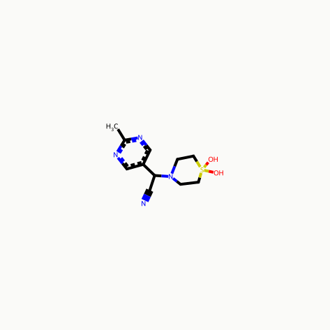 Cc1ncc(C(C#N)N2CCS(O)(O)CC2)cn1